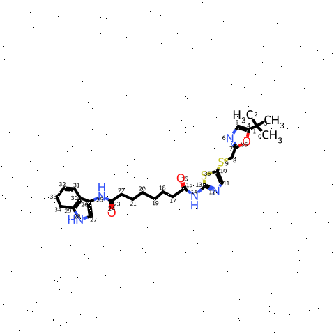 CC(C)(C)c1cnc(CSc2cnc(NC(=O)CCCCCCC(=O)Nc3c[nH]c4c3C=CCC4)s2)o1